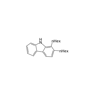 CCCCCCc1ccc2c([nH]c3ccccc32)c1CCCCCC